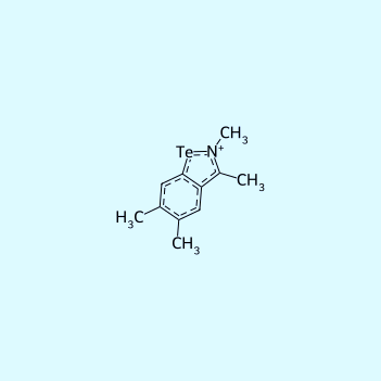 Cc1cc2[te][n+](C)c(C)c2cc1C